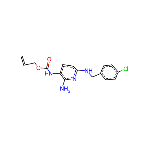 C=CCOC(=O)Nc1ccc(NCc2ccc(Cl)cc2)nc1N